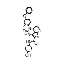 Cc1cc(Oc2ccccc2)ccc1N1C(=O)Nc2c(C(=O)NC3CCC(O)CC3)sc3nccc1c23